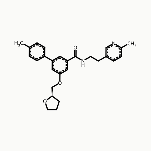 Cc1ccc(-c2cc(OC[C@H]3CCCO3)cc(C(=O)NCCc3ccc(C)nc3)c2)cc1